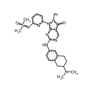 CC(C)n1c(=O)c2cnc(Nc3ccc4c(c3)CCC(N(C)C)C4)nc2n1-c1cccc(N=S(C)(C)=O)n1